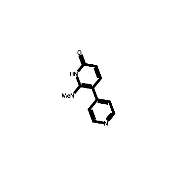 CNc1[nH]c(=O)ccc1-c1ccncc1